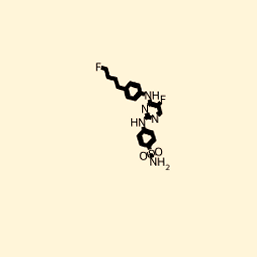 NS(=O)(=O)c1ccc(Nc2ncc(F)c(Nc3ccc(CCCCF)cc3)n2)cc1